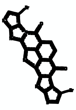 O=c1c2ccc3c(=O)n4c(nc5scc(Br)c54)c4sc(c2c34)c2nc3scc(Br)c3n12